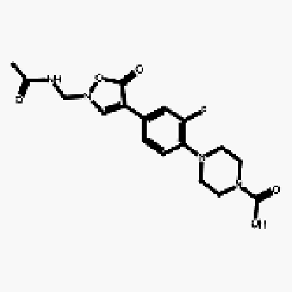 CC(=O)NCn1cc(-c2ccc(N3CCN(C(=O)O)CC3)c(F)c2)c(=O)o1